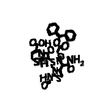 NC(=O)C(=NOCC(=O)OC(c1ccccc1)c1ccccc1)C1=CSC(NC=O)N1CSC1C(=O)N2C(C(=O)O)=CCS[C@@H]12